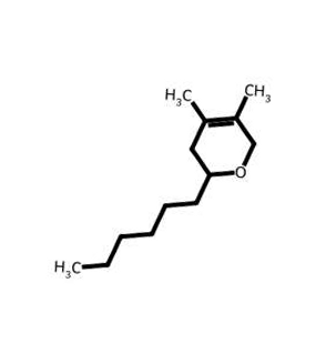 CCCCCCC1CC(C)=C(C)CO1